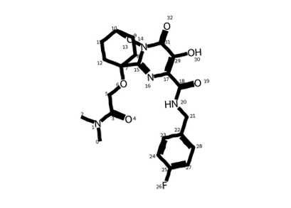 CN(C)C(=O)COC12CCC(CC1)Cn1c2nc(C(=O)NCc2ccc(F)cc2)c(O)c1=O